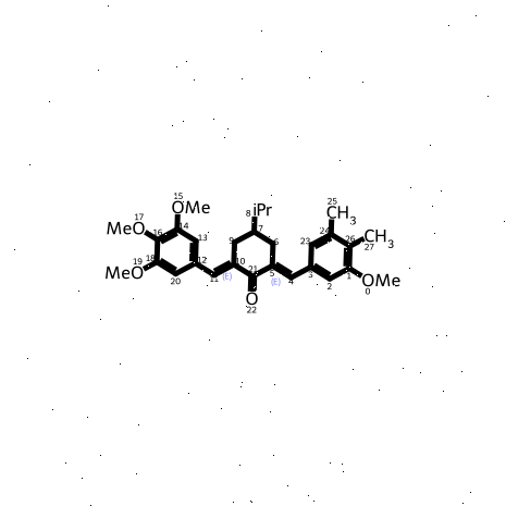 COc1cc(/C=C2\CC(C(C)C)C/C(=C\c3cc(OC)c(OC)c(OC)c3)C2=O)cc(C)c1C